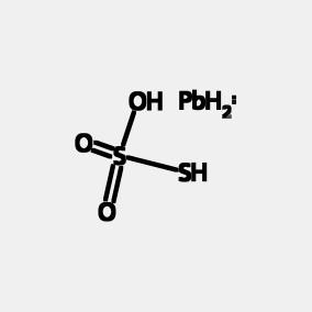 O=S(=O)(O)S.[PbH2]